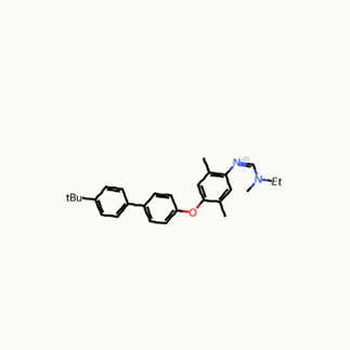 CCN(C)/C=N\c1cc(C)c(Oc2ccc(-c3ccc(C(C)(C)C)cc3)cc2)cc1C